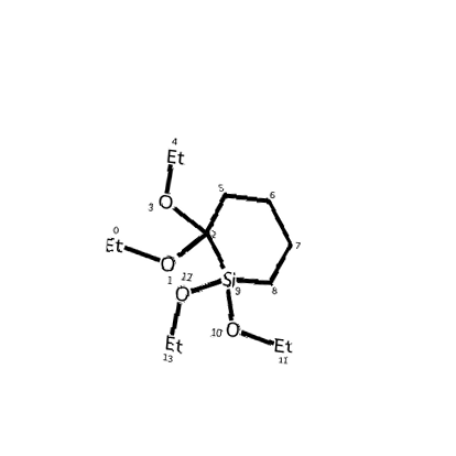 CCOC1(OCC)CCCC[Si]1(OCC)OCC